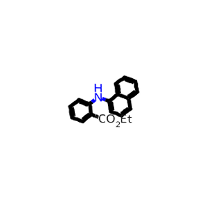 CCOC(=O)c1ccccc1Nc1cccc2ccccc12